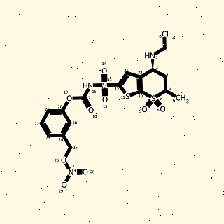 CCN[C@H]1CC(C)S(=O)(=O)c2sc(S(=O)(=O)NC(=O)Oc3cccc(CO[N+](=O)[O-])c3)cc21